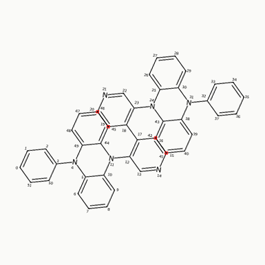 c1ccc(N2c3ccccc3N(c3cnccc3-c3ccncc3N3c4ccccc4N(c4ccccc4)c4ccccc43)c3ccccc32)cc1